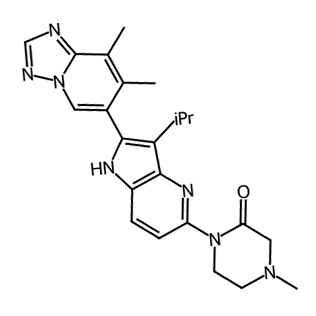 Cc1c(-c2[nH]c3ccc(N4CCN(C)CC4=O)nc3c2C(C)C)cn2ncnc2c1C